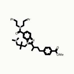 COC(=O)c1ccc(CCC(C)c2nc3ccc(C(=O)N(CCC(C)C)CCC(C)C)cc3n2CC(C)(C)CN(C)C)cc1